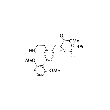 COC(=O)C(Cc1ccc(-c2c(OC)cccc2OC)c2c1CCNC2)NC(=O)OC(C)(C)C